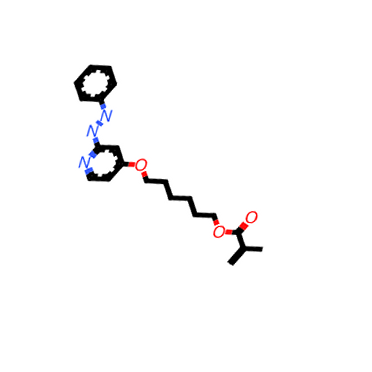 C=C(C)C(=O)OCCCCCCOc1ccnc(N=Nc2ccccc2)c1